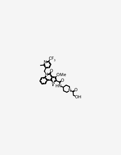 COc1c(C(=O)NC2CCN(C(=O)CO)CC2)n(C)c2c1c(=O)n(Cc1ccc(C(F)(F)F)nc1C)c1ccccc21